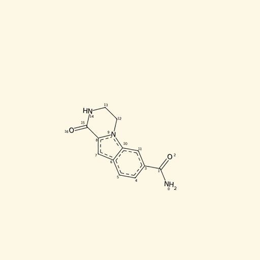 NC(=O)c1ccc2cc3n(c2c1)CCNC3=O